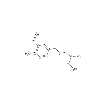 [CH]=Cc1cc(CCCC(C)CC(C)(C)C)[c]cc1C